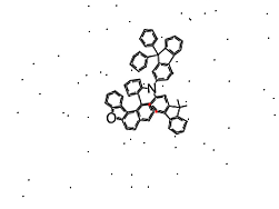 CC1(C)c2ccccc2-c2ccc(N(c3ccc4c(c3)C(c3ccccc3)(c3ccccc3)c3ccccc3-4)c3ccccc3-c3cccc4ccc5oc6ccccc6c5c34)cc21